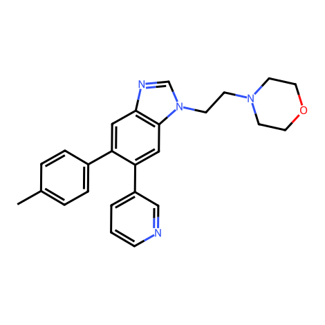 Cc1ccc(-c2cc3ncn(CCN4CCOCC4)c3cc2-c2cccnc2)cc1